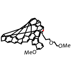 COCCOCCN1CC2C3=c4c5c6c7c(cc8cc9cc%10cc%11cc%12c%13c(c4c4c5c5c7c8c7c9c%10c8c%11c%13c4c8c75)=C(C3)C%12)CC62C1c1cccc2c(OC)cccc12